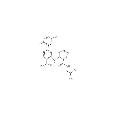 CC(O)CNC(=O)c1cncnc1Nc1cc(-c2cc(Cl)ccc2F)ncc1C(C)C